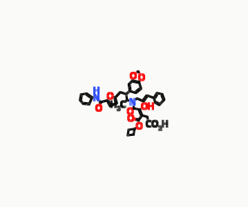 CC(C(Cc1ccc(C(=O)Nc2ccccc2)o1)c1ccc2c(c1)OCO2)N(C/C=C/c1ccccc1)C(=O)C(O)=C(CC(=O)O)C(=O)OC1CCC1